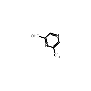 O=Cc1cncc(C(F)(F)F)n1